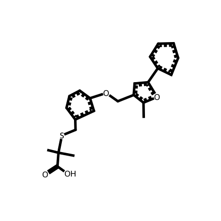 Cc1oc(-c2ccccc2)cc1COc1cccc(CSC(C)(C)C(=O)O)c1